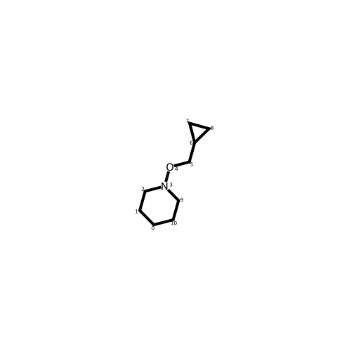 C1CCN(OCC2CC2)CC1